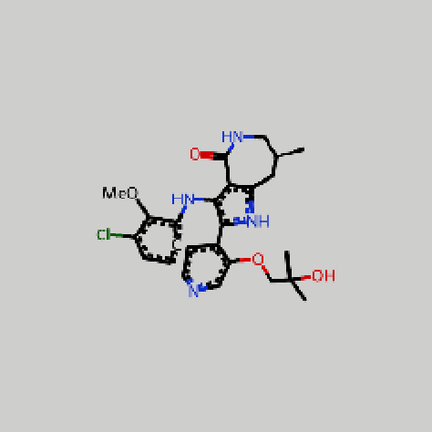 COc1c(Cl)cccc1Nc1c(-c2ccncc2OCC(C)(C)O)[nH]c2c1C(=O)NC[C@@H](C)C2